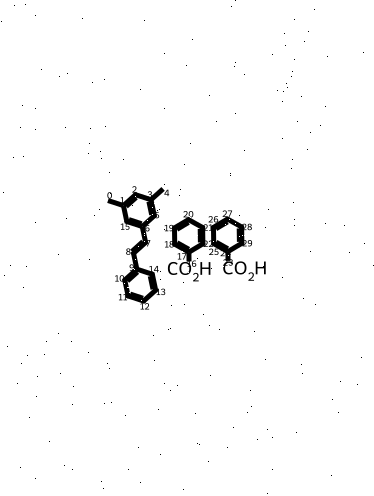 Cc1cc(C)cc(C=Cc2ccccc2)c1.O=C(O)c1ccccc1.O=C(O)c1ccccc1